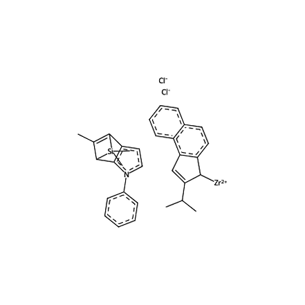 CC(C)C1=Cc2c(ccc3ccccc23)[CH]1[Zr+2].CC1=C2c3ccn(-c4ccccc4)c3C1[Si]2(C)C.[Cl-].[Cl-]